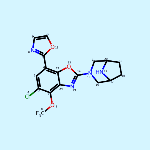 FC(F)(F)Oc1c(Cl)cc(-c2ncco2)c2oc(N3CC4CCC(C3)N4)nc12